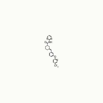 O=C(Nc1ncccn1)C1CCC/C(=C\c2cccc(Oc3ccc(C(F)(F)F)cn3)c2)C1